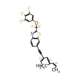 C\C=C/C(C)=C/C(C#Cc1ccc2nc(C(F)(F)Oc3cc(F)c(F)c(F)c3)sc2c1)=C\C